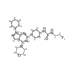 O=C(NCCF)Nc1ccc(-c2nc(N3CCOCC3)c3cnn(-c4ccccc4)c3n2)cc1